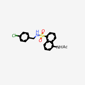 CC(=O)Nc1cccc2c(S(=O)(=O)NCc3ccc(Cl)cc3)cccc12